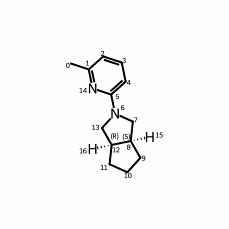 Cc1cccc(N2C[C@H]3CCC[C@H]3C2)n1